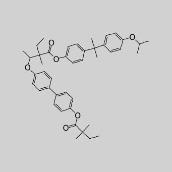 CCC(C)(C)C(=O)Oc1ccc(-c2ccc(OC(C)C(C)(CC)C(=O)Oc3ccc(C(C)(C)c4ccc(OC(C)C)cc4)cc3)cc2)cc1